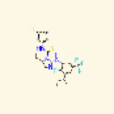 CCC(C)c1cc(C(F)(F)F)cc(NC2=NCC(CC)N2C(=S)Nc2cccc(Cl)c2)c1F